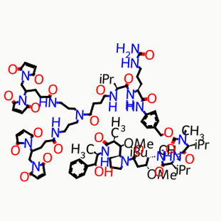 CC[C@H](C)[C@@H]([C@@H](CC(=O)N1CCC[C@H]1[C@H](OC)[C@@H](C)C(=O)N[C@H](C)[C@@H](O)c1ccccc1)OC)N(C)C(=O)[C@@H](NC(=O)[C@H](C(C)C)N(C)C(=O)OCc1ccc(NC(=O)[C@H](CCCNC(N)=O)NC(=O)[C@@H](NC(=O)CCC(=O)N(CCCNC(=O)CCC(CN2C(=O)C=CC2=O)N2C(=O)C=CC2=O)CCCNC(=O)CCC(CN2C(=O)C=CC2=O)N2C(=O)C=CC2=O)C(C)C)cc1)C(C)C